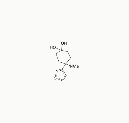 CNC1(c2ccsc2)CCC(O)(O)CC1